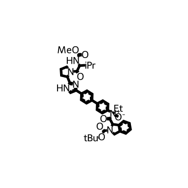 CC[N+]([O-])(C(=O)C1c2ccccc2CN1C(=O)OC(C)(C)C)c1ccc(-c2ccc(-c3c[nH]c(C4CCCN4C(=O)C(NC(=O)OC)C(C)C)n3)cc2)cc1